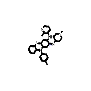 Cc1ccc(-n2c3c/c(=N/C4CCN(C)CC4)c(Nc4cccnc4C)cc-3nc3ccccc32)cc1